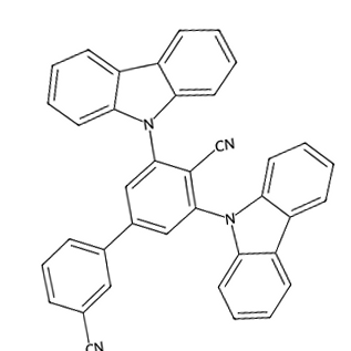 N#Cc1cccc(-c2cc(-n3c4ccccc4c4ccccc43)c(C#N)c(-n3c4ccccc4c4ccccc43)c2)c1